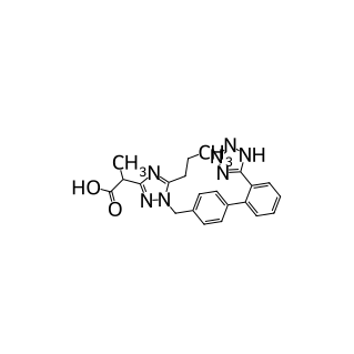 CCCc1nc(C(C)C(=O)O)nn1Cc1ccc(-c2ccccc2-c2nnn[nH]2)cc1